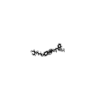 CCN(CC)CCCOc1ccc(S(=O)(=O)NCCCc2c[nH]c3ccccc23)cc1